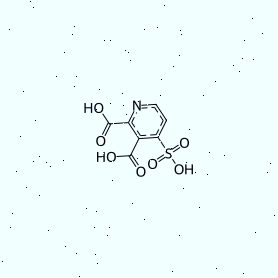 O=C(O)c1nccc(S(=O)(=O)O)c1C(=O)O